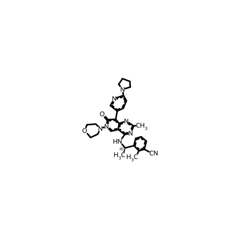 Cc1nc(N[C@H](C)c2cccc(C#N)c2C)c2cn(N3CCOCC3)c(=O)c(-c3ccc(N4CCCC4)nc3)c2n1